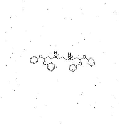 c1ccc(OC(CC[SiH2]CCC[SiH2]CCC(Oc2ccccc2)Oc2ccccc2)Oc2ccccc2)cc1